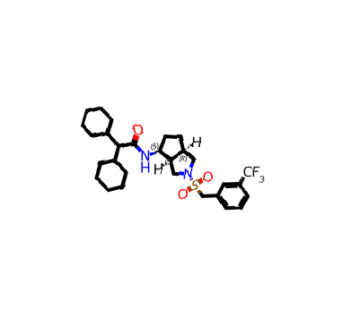 O=C(N[C@H]1CC[C@H]2CN(S(=O)(=O)Cc3cccc(C(F)(F)F)c3)C[C@H]21)C(C1CCCCC1)C1CCCCC1